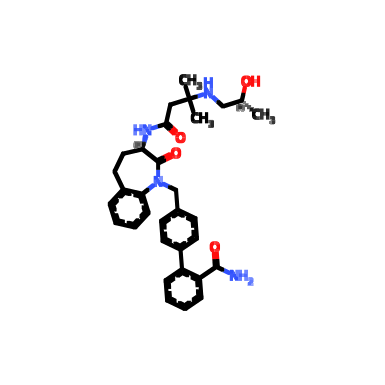 C[C@@H](O)CNC(C)(C)CC(=O)N[C@@H]1CCc2ccccc2N(Cc2ccc(-c3ccccc3C(N)=O)cc2)C1=O